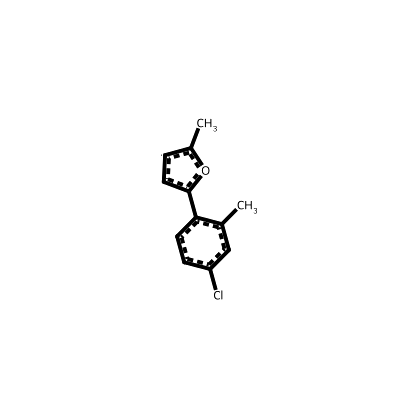 Cc1[c]cc(-c2ccc(Cl)cc2C)o1